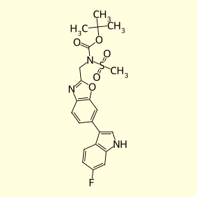 CC(C)(C)OC(=O)N(Cc1nc2ccc(-c3c[nH]c4cc(F)ccc34)cc2o1)S(C)(=O)=O